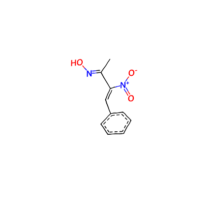 CC(=NO)C(=Cc1ccccc1)[N+](=O)[O-]